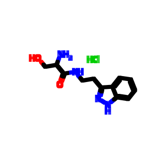 Cl.NC(CO)C(=O)NCCc1n[nH]c2ccccc12